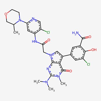 CC1COCCN1c1cc(NC(=O)Cn2cc(-c3cc(Cl)c(O)c(C(N)=O)c3)c3c(=O)n(C)c(N(C)C)nc32)c(Cl)cn1